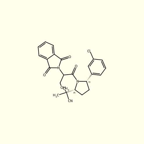 CC(C)(C#N)[C@H]1CC[C@@H](c2cccc(Cl)c2)N1C(=O)C(CO)N1C(=O)c2ccccc2C1=O